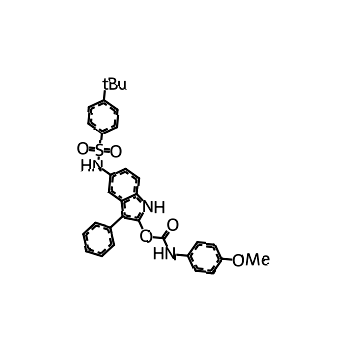 COc1ccc(NC(=O)Oc2[nH]c3ccc(NS(=O)(=O)c4ccc(C(C)(C)C)cc4)cc3c2-c2ccccc2)cc1